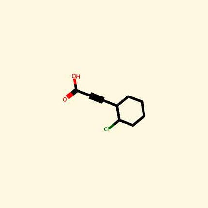 O=C(O)C#CC1CCCCC1Cl